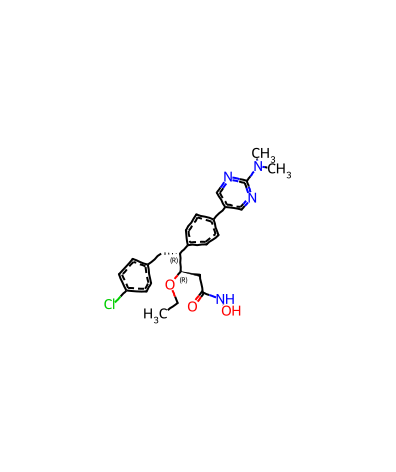 CCO[C@H](CC(=O)NO)[C@H](Cc1ccc(Cl)cc1)c1ccc(-c2cnc(N(C)C)nc2)cc1